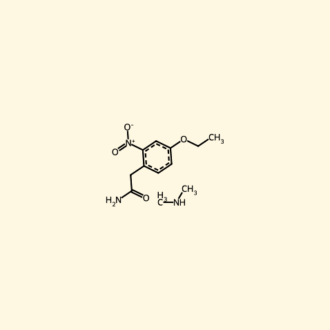 CCOc1ccc(CC(N)=O)c([N+](=O)[O-])c1.CNC